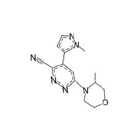 CC1COCCN1c1cc(-c2ccnn2C)c(C#N)nn1